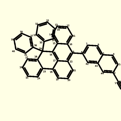 N#Cc1ccc2ccc(-c3c4ccccc4c4c5c(cccc35)-c3ccccc3C4(c3ccccc3)c3ccccc3)cc2c1